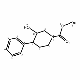 CC(C)(C)OC(=O)N1CCC(c2ccccc2)C(O)C1